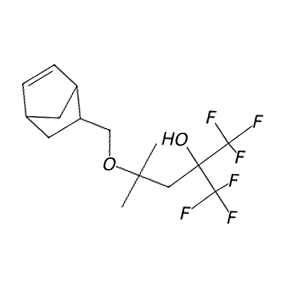 CC(C)(CC(O)(C(F)(F)F)C(F)(F)F)OCC1CC2C=CC1C2